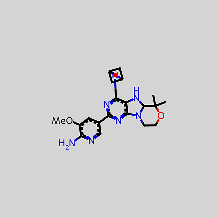 COc1cc(-c2nc(N3CC4CC3C4)c3c(n2)N2CCOC(C)(C)C2N3)cnc1N